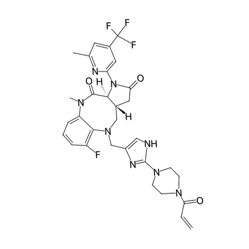 C=CC(=O)N1CCN(c2nc(CN3C[C@H]4CC(=O)N(c5cc(C(F)(F)F)cc(C)n5)[C@@H]4C(=O)N(C)c4cccc(F)c43)c[nH]2)CC1